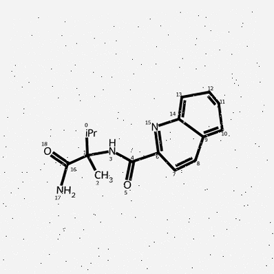 CC(C)C(C)(NC(=O)c1ccc2ccccc2n1)C(N)=O